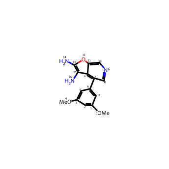 COc1cc(OC)cc(-c2cncc3oc(N)c(N)c23)c1